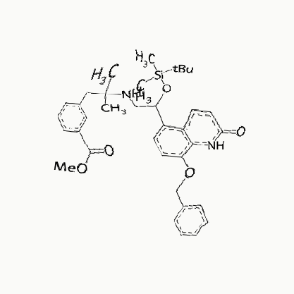 COC(=O)c1cccc(CC(C)(C)NCC(O[Si](C)(C)C(C)(C)C)c2ccc(OCc3ccccc3)c3[nH]c(=O)ccc23)c1